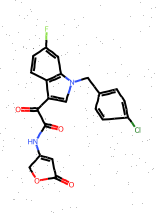 O=C1C=C(NC(=O)C(=O)c2cn(Cc3ccc(Cl)cc3)c3cc(F)ccc23)CO1